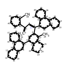 C=C(/C=C(\c1cc(-c2cc3ccccc3c3ccccc23)c2ccccc2c1C)c1cc2ccccc2c2ccccc12)c1ccccc1C#N